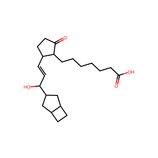 O=C(O)CCCCCCC1C(=O)CCC1/C=C/C(O)C1CC2CCC2C1